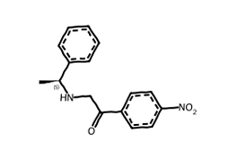 C[C@H](NCC(=O)c1ccc([N+](=O)[O-])cc1)c1ccccc1